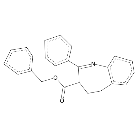 O=C(OCc1ccccc1)C1CCc2ccccc2N=C1c1ccccc1